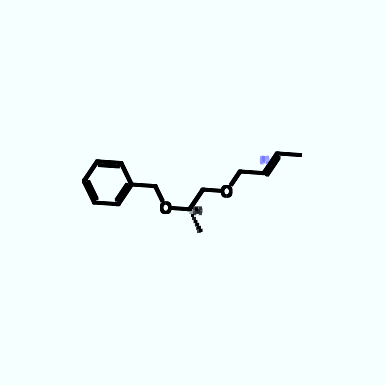 C/C=C/COC[C@H](C)OCc1ccccc1